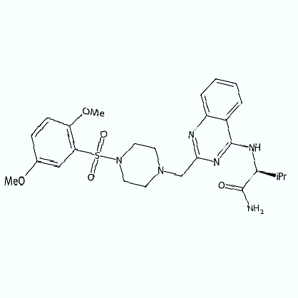 COc1ccc(OC)c(S(=O)(=O)N2CCN(Cc3nc(N[C@H](C(N)=O)C(C)C)c4ccccc4n3)CC2)c1